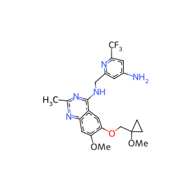 COc1cc2nc(C)nc(NCc3cc(N)cc(C(F)(F)F)n3)c2cc1OCC1(OC)CC1